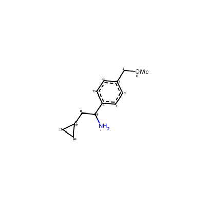 COCc1ccc(C(N)CC2CC2)cc1